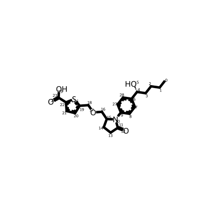 CCCC[C@@H](O)c1ccc(N2C(=O)CCC2COCc2ccc(C(=O)O)s2)cc1